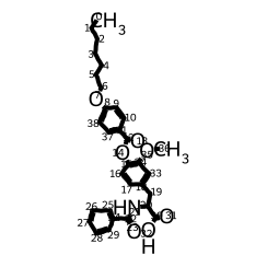 CCCCCCCOc1ccc(C(=O)Oc2ccc(CC(NC(=O)c3ccccc3)C(=O)O)cc2OC)cc1